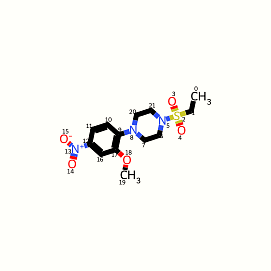 CCS(=O)(=O)N1CCN(c2ccc([N+](=O)[O-])cc2OC)CC1